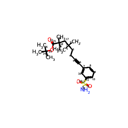 CC(C)(CCC#Cc1cccc(S(N)(=O)=O)c1)CC(C)(C)C(=O)OC(C)(C)C